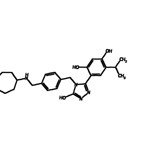 CC(C)c1cc(-c2nnc(O)n2Cc2ccc(CNC3CCCCCC3)cc2)c(O)cc1O